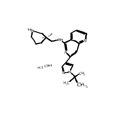 CC(C)(C)n1cc(-c2cc3ncccc3c(NC[C@@]3(F)CCCNC3)n2)cn1.Cl.Cl